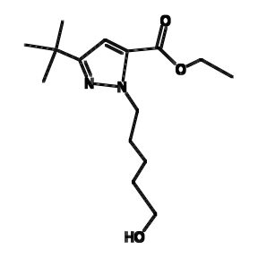 CCOC(=O)c1cc(C(C)(C)C)nn1CCCCCO